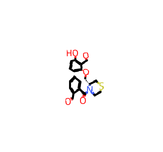 O=Cc1ccccc1C(=O)N1CCSC[C@H]1COc1cccc(O)c1C=O